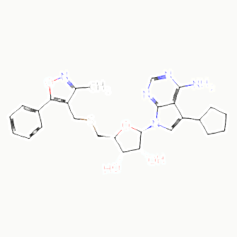 Cc1noc(-c2ccccc2)c1CSC[C@H]1O[C@@H](n2cc(C3CCCC3)c3c(N)ncnc32)[C@H](O)[C@@H]1O